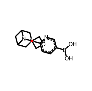 OB(O)c1ccc(N2CC3CC(C2)N3C2COC2)nc1